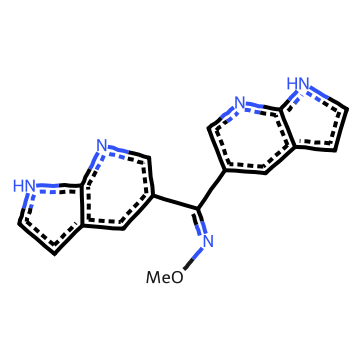 CON=C(c1cnc2[nH]ccc2c1)c1cnc2[nH]ccc2c1